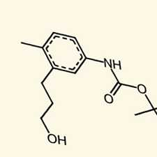 Cc1ccc(NC(=O)OC(C)(C)C)cc1CCCO